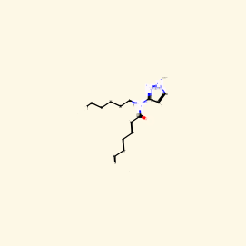 CCCCCCC(=O)N(CCCCCC)c1ccn(C)n1